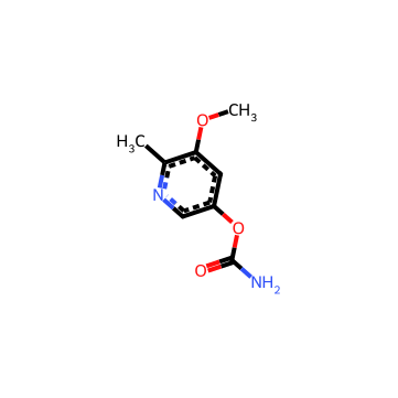 COc1cc(OC(N)=O)cnc1C